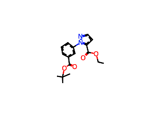 CCOC(=O)c1ccnn1-c1cccc(C(=O)OC(C)(C)C)c1